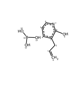 C=CCc1cccnc1O.OB(O)O